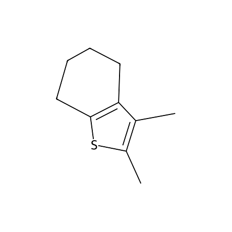 Cc1sc2c(c1C)CCCC2